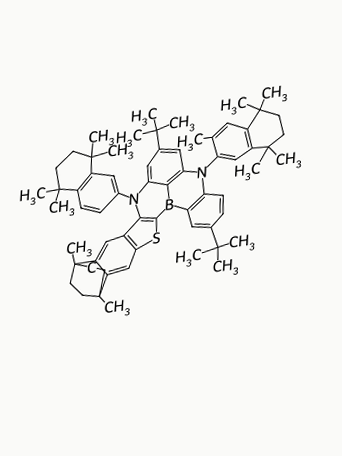 Cc1cc2c(cc1N1c3ccc(C(C)(C)C)cc3B3c4sc5cc6c(cc5c4N(c4ccc5c(c4)C(C)(C)CCC5(C)C)c4cc(C(C)(C)C)cc1c43)C1(C)CCC6(C)CC1)C(C)(C)CCC2(C)C